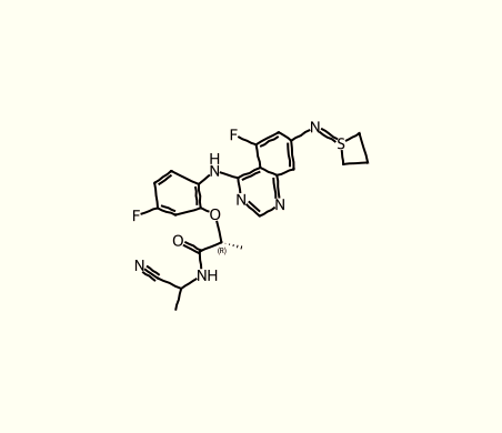 CC(C#N)NC(=O)[C@@H](C)Oc1cc(F)ccc1Nc1ncnc2cc(N=S3CCC3)cc(F)c12